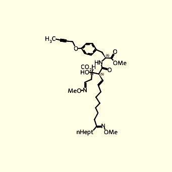 CC#CCOc1ccc(C[C@H](NC(=O)[C@@H](C=CCCCCCCC(CCCCCCC)=NOC)[C@@](O)(CC=NOC)C(=O)O)C(=O)OC)cc1